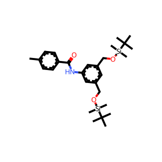 Cc1ccc(C(=O)Nc2cc(CO[Si](C)(C)C(C)(C)C)cc(CO[Si](C)(C)C(C)(C)C)c2)cc1